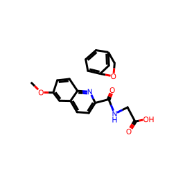 COc1ccc2nc(C(=O)NCC(=O)O)ccc2c1.c1cc2cc(c1)OC2